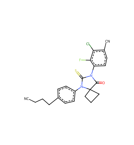 N#CCCCc1ccc(N2C(=S)N(c3ccc(C#N)c(Cl)c3F)C(=O)C23CCC3)cc1